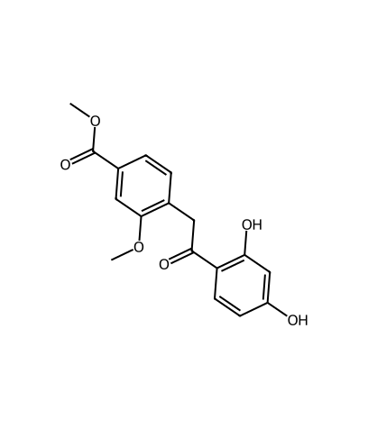 COC(=O)c1ccc(CC(=O)c2ccc(O)cc2O)c(OC)c1